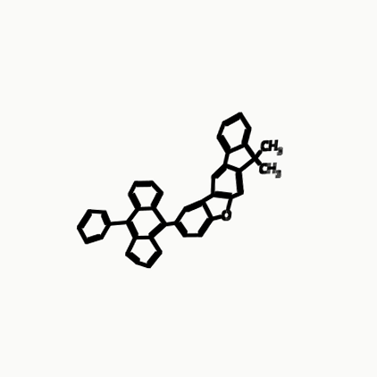 CC1(C)c2ccccc2-c2cc3c(cc21)oc1ccc(-c2c4ccccc4c(-c4ccccc4)c4ccccc24)cc13